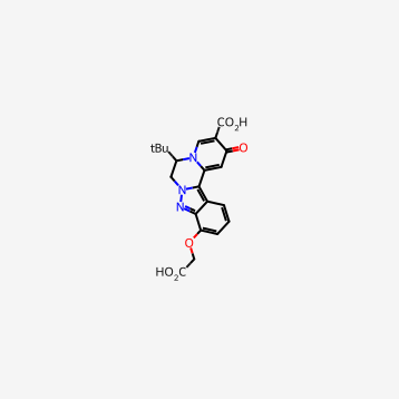 CC(C)(C)C1Cn2nc3c(OCC(=O)O)cccc3c2-c2cc(=O)c(C(=O)O)cn21